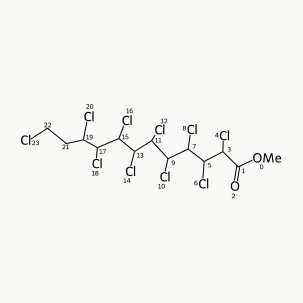 COC(=O)C(Cl)C(Cl)C(Cl)C(Cl)C(Cl)C(Cl)C(Cl)C(Cl)C(Cl)CCCl